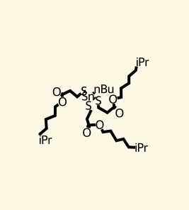 CCC[CH2][Sn]([S]CCC(=O)OCCCCCC(C)C)([S]CCC(=O)OCCCCCC(C)C)[S]CCC(=O)OCCCCCC(C)C